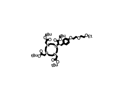 CCOCCOCCOc1ccc(C[C@H](C(=O)OC(C)(C)C)N2CCN(CC(=O)OC(C)(C)C)CCN(CC(=O)OC(C)(C)C)CCN(CC(=O)OC(C)(C)C)CC2)cc1